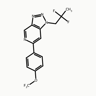 CC(F)(F)Cn1nnc2cnc(-c3ccc(OC(F)(F)F)cc3)cc21